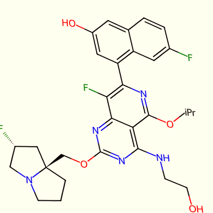 CC(C)Oc1nc(-c2cc(O)cc3ccc(F)cc23)c(F)c2nc(OC[C@@]34CCCN3C[C@H](F)C4)nc(NCCO)c12